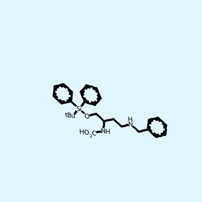 CC(C)(C)[Si](OCC(CCNCc1ccccc1)NC(=O)O)(c1ccccc1)c1ccccc1